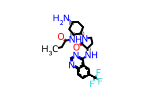 CCC(=O)N[C@@H]1C[C@H](N)CC[C@@H]1N1CC[C@H](Nc2ncnc3ccc(C(F)(F)F)cc23)C1=O